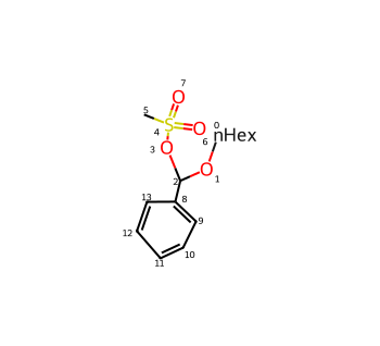 CCCCCCOC(OS(C)(=O)=O)c1ccccc1